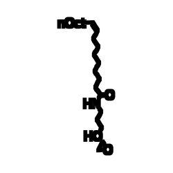 C1CO1.CCCCCCCC/C=C\CCCCCCCC(=O)NCCCO